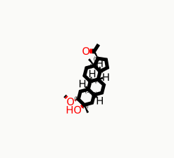 CO[C@@H]1C[C@H]2[C@H](CC[C@@H]3[C@@H]2CC[C@]2(C)[C@@H](C(C)=O)CC[C@@H]32)C[C@]1(C)O